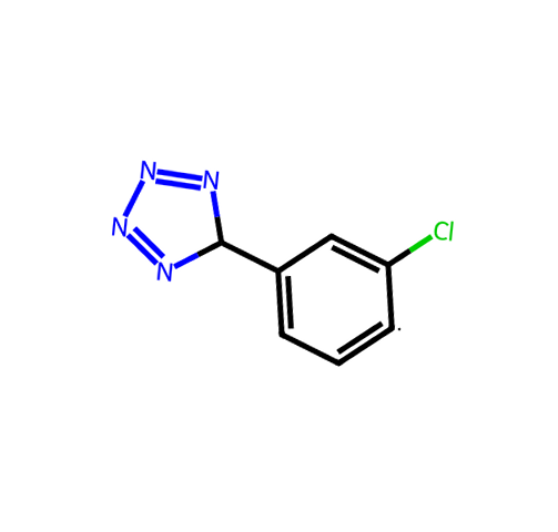 Clc1[c]ccc(C2N=NN=N2)c1